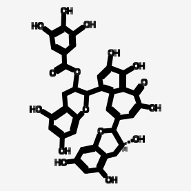 O=C(OC1Cc2c(O)cc(O)cc2OC1c1cc(O)c(O)c2c(=O)c(O)cc(C3Oc4cc(O)cc(O)c4C[C@H]3O)cc12)c1cc(O)c(O)c(O)c1